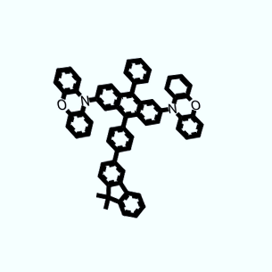 CC1(C)c2ccccc2-c2cc(-c3ccc(-c4c5ccc(N6C7=C(C=CCC7)Oc7ccccc76)cc5c(-c5ccccc5)c5ccc(N6c7ccccc7Oc7ccccc76)cc45)cc3)ccc21